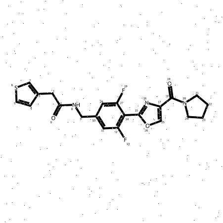 O=C(Cc1ccsc1)NCc1cc(F)c(-c2nc(C(=O)N3CCCC3)co2)c(F)c1